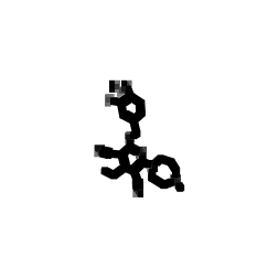 CCc1c(C#N)c(SCc2ccc(N)c(F)c2)nc(N2CCCN(C)CC2)c1C#N